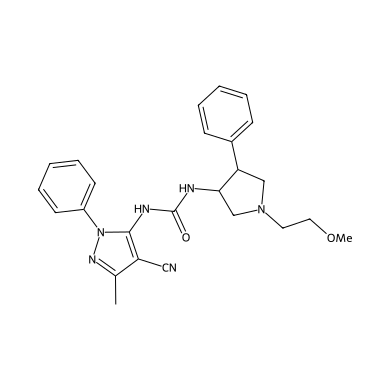 COCCN1CC(NC(=O)Nc2c(C#N)c(C)nn2-c2ccccc2)C(c2ccccc2)C1